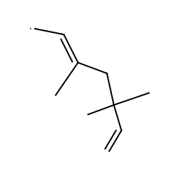 [CH2]/C=C(\C)CC(C)(C)C=C